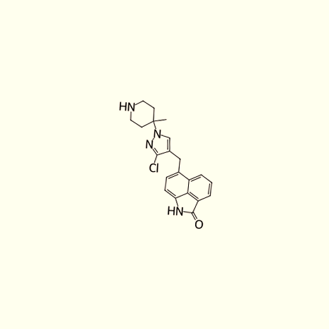 CC1(n2cc(Cc3ccc4c5c(cccc35)C(=O)N4)c(Cl)n2)CCNCC1